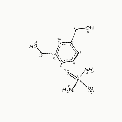 NP(N)(=S)S.OCc1cccc(CO)n1